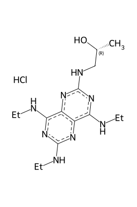 CCNc1nc(NCC)c2nc(NC[C@@H](C)O)nc(NCC)c2n1.Cl